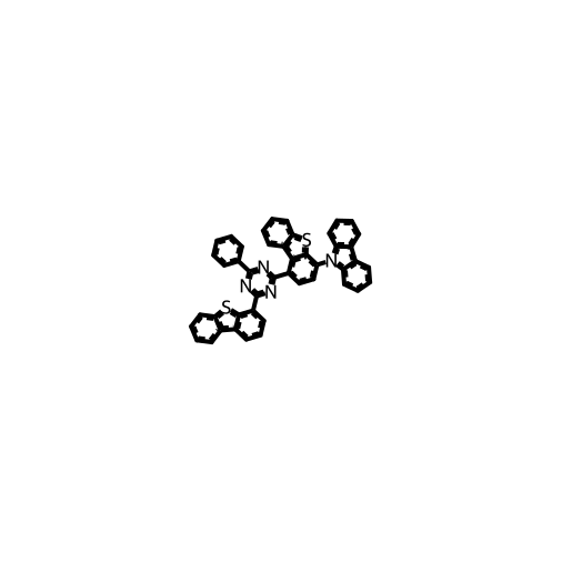 c1ccc(-c2nc(-c3cccc4c3sc3ccccc34)nc(-c3ccc(-n4c5ccccc5c5ccccc54)c4sc5ccccc5c34)n2)cc1